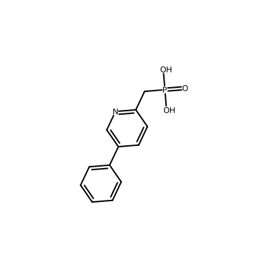 O=P(O)(O)Cc1ccc(-c2ccccc2)cn1